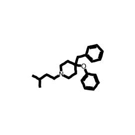 CC(C)CCN1CCC(Cc2ccccc2)(Oc2ccccc2)CC1